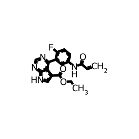 C=CC(=O)Nc1ccc(F)c(-c2ncnc3[nH]cc(C(=O)OCC)c23)c1